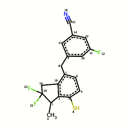 CC1c2c(S)ccc(Cc3cc(F)cc(C#N)c3)c2CC1(F)F